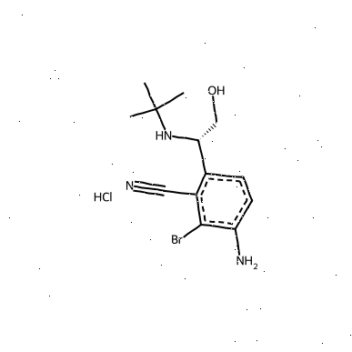 CC(C)(C)N[C@H](CO)c1ccc(N)c(Br)c1C#N.Cl